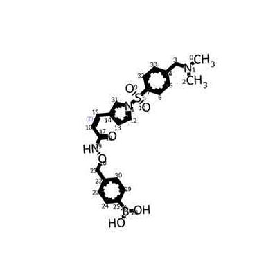 CN(C)Cc1ccc(S(=O)(=O)n2ccc(/C=C\C(=O)NOCc3ccc(B(O)O)cc3)c2)cc1